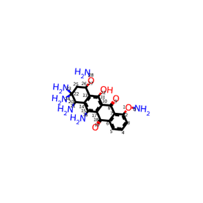 NOc1cccc2c1C(=O)c1c(O)c3c(c(N)c1C2=O)C(N)C(N)(N)CC3ON